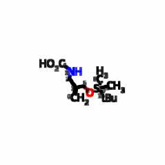 C=C(CNC(=O)O)CO[Si](C)(C)C(C)(C)C